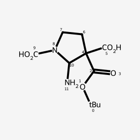 CC(C)(C)OC(=O)C1(C(=O)O)CCN(C(=O)O)C1N